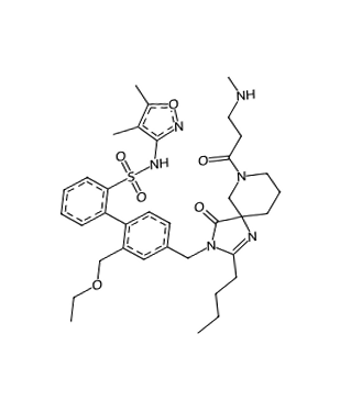 CCCCC1=NC2(CCCN(C(=O)CCNC)C2)C(=O)N1Cc1ccc(-c2ccccc2S(=O)(=O)Nc2noc(C)c2C)c(COCC)c1